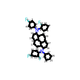 Fc1ccc(N(c2ccccc2F)c2ccc3ccc4c(N(c5ccccc5)c5ccc(F)cc5F)ccc5ccc2c3c54)cc1